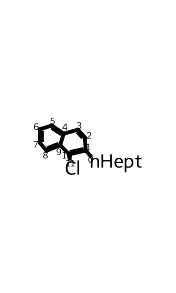 CCCCCCCc1ccc2ccccc2c1Cl